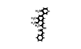 C=Cc1c(C)cc(-c2cnccc2C)cc1/C=C(\C)NC(=O)C=C1CCCCC1